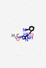 CC(=O)N1Cc2n[nH]c(NC(=O)c3ccccc3C#N)c2C1